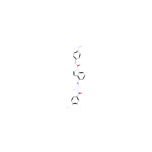 CNc1ccc(CC(=O)n2ccc3c(/C=N/NC(=O)c4ccc(O)c(Cl)c4)cccc32)cc1